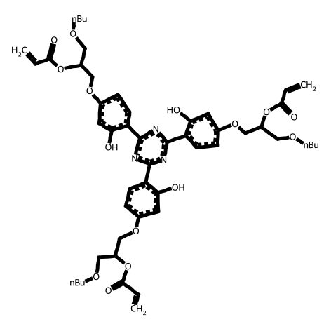 C=CC(=O)OC(COCCCC)COc1ccc(-c2nc(-c3ccc(OCC(COCCCC)OC(=O)C=C)cc3O)nc(-c3ccc(OCC(COCCCC)OC(=O)C=C)cc3O)n2)c(O)c1